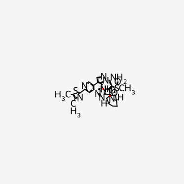 Cc1nc(-c2ccc(-c3cnn4c(N)c(S(C)(=O)=O)c([C@H]5C[C@H]6CC[C@@H](C5)N6C(=O)c5nnc[nH]5)nc34)cn2)sc1C